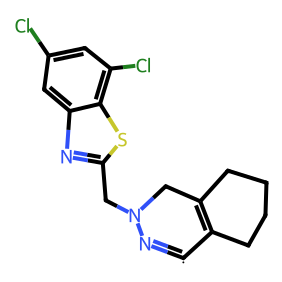 Clc1cc(Cl)c2sc(CN3CC4=C([C]=N3)CCCC4)nc2c1